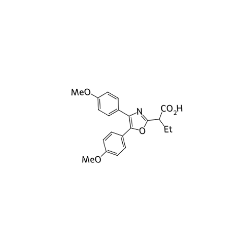 CCC(C(=O)O)c1nc(-c2ccc(OC)cc2)c(-c2ccc(OC)cc2)o1